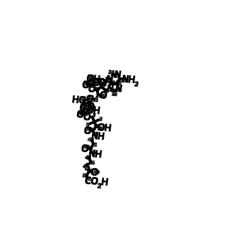 CC(C)(COP(=O)(O)OP(=O)(O)OC[C@H]1O[C@@H](n2cnc3c(N)ncnc32)[C@H](O)[C@@H]1OP(=O)(O)O)C(O)C(=O)NCCC(=O)NCCSC(=O)CC(=O)O